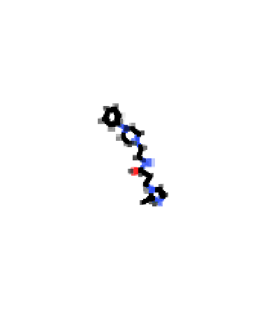 Cc1nccn1CCC(=O)NCCN1CCN(c2ccccc2)CC1